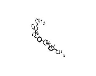 C=CCCC(C=O)N1Cc2cc(C3CCN(Cc4cccc(CC)n4)CC3)ccc2CO1